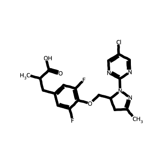 CC1=NN(c2ncc(Cl)cn2)C(COc2c(F)cc(CC(C)C(=O)O)cc2F)C1